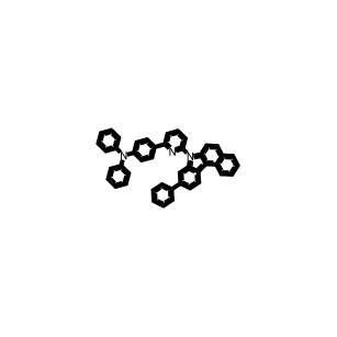 c1ccc(-c2ccc3c4c5ccccc5ccc4n(-c4cccc(-c5ccc(N(c6ccccc6)c6ccccc6)cc5)n4)c3c2)cc1